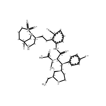 CC[C@H]1C[C@@H]([C@H](c2ccc(F)cc2)[C@@H](C(=O)Nc2cccc(F)c2CC[C@H]2CN[C@@H]3CCCS(=O)(=O)N2C3)N(C)C(=O)O)CCO1